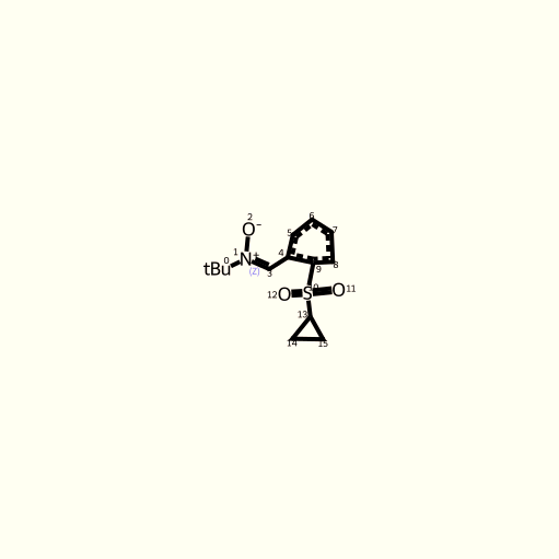 CC(C)(C)/[N+]([O-])=C/c1ccccc1S(=O)(=O)C1CC1